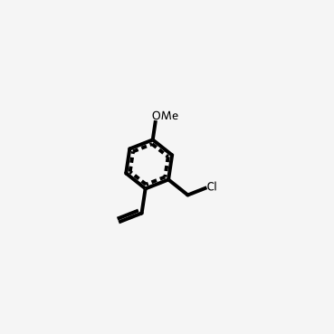 C=Cc1ccc(OC)cc1CCl